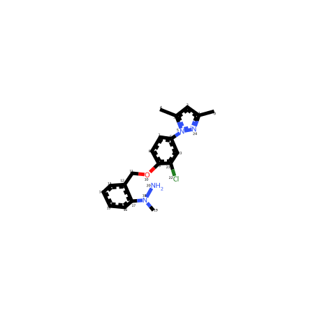 Cc1cc(C)n(-c2ccc(OCc3ccccc3N(C)N)c(Cl)c2)n1